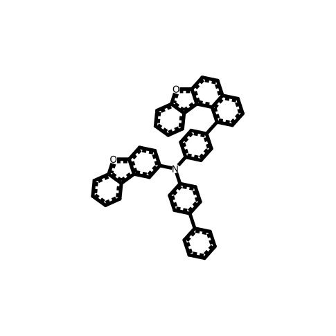 c1ccc(-c2ccc(N(c3ccc(-c4cccc5ccc6oc7ccccc7c6c45)cc3)c3ccc4oc5ccccc5c4c3)cc2)cc1